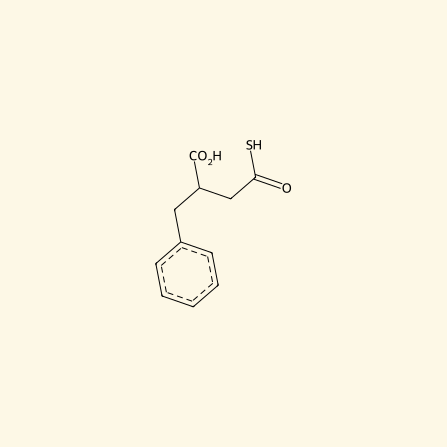 O=C(S)CC(Cc1ccccc1)C(=O)O